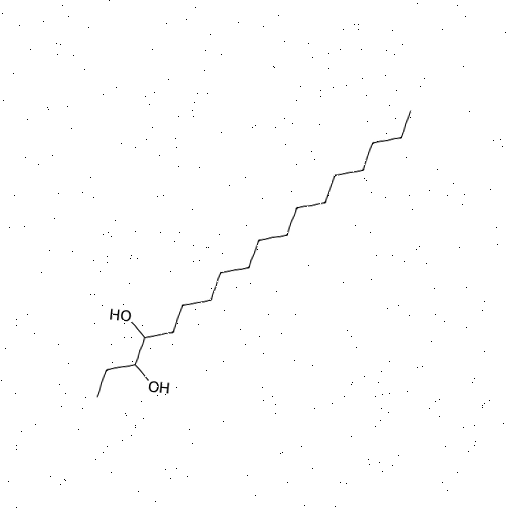 CCCCCCCCCCCCCCC(O)C(O)CC